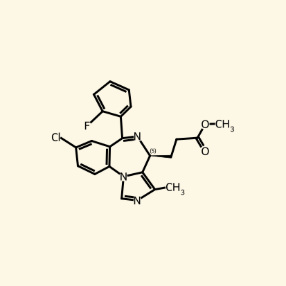 COC(=O)CC[C@@H]1N=C(c2ccccc2F)c2cc(Cl)ccc2-n2cnc(C)c21